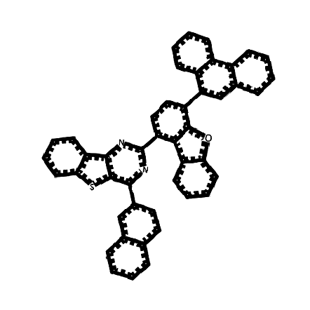 c1ccc2cc(-c3nc(-c4ccc(-c5cc6ccccc6c6ccccc56)c5oc6ccccc6c45)nc4c3sc3ccccc34)ccc2c1